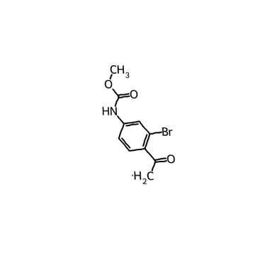 [CH2]C(=O)c1ccc(NC(=O)OC)cc1Br